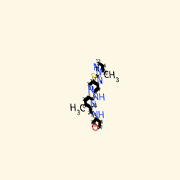 Cc1ccc(Nc2cc3nc(-n4nccc4C)sc3cn2)nc1CN[C@H]1CCOC1